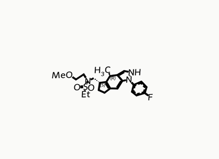 CCS(=O)(=O)N(CCOC)C[C@H]1CCC2=C1[C@@H](C)C1=CNN(c3ccc(F)cc3)C1=C2